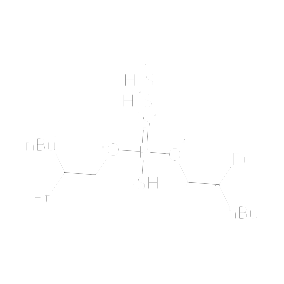 CCCCC(CC)COP(=S)(S)OCC(CC)CCCC.S.S